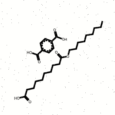 CCCCCCCCCOC(=O)CCCCCCCCC(=O)O.O=C(O)c1ccc(C(=O)O)cc1